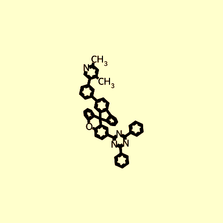 Cc1cc(C)c(-c2cccc(-c3ccc4c(c3)C3(c5ccccc5Oc5ccc(-c6nc(-c7ccccc7)nc(-c7ccccc7)n6)cc53)c3ccccc3-4)c2)cn1